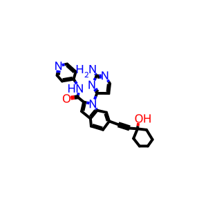 Nc1nccc(-n2c(C(=O)Nc3ccncc3)cc3ccc(C#CC4(O)CCCCC4)cc32)n1